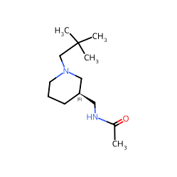 CC(=O)NC[C@H]1CCCN(CC(C)(C)C)C1